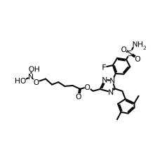 Cc1ccc(C)c(Cc2nc(COC(=O)CCCCCON(O)O)nn2-c2ccc(S(N)(=O)=O)cc2F)c1